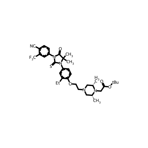 CCc1cc(N2C(=S)N(c3ccc(C#N)c(C(F)(F)F)c3)C(=O)C2(C)C)ccc1OCCN1C[C@@H](C)N(CC(=O)OC(C)(C)C)[C@@H](C)C1